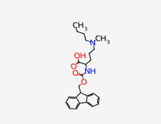 CCCCN(C)CCCC(NC(=O)OCC1c2ccccc2-c2ccccc21)C(=O)O